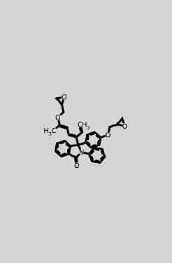 C=C/C(=C\C=C(/C)OCC1CO1)C1(c2ccc(OCC3CO3)cc2)c2ccccc2C(=O)N1c1ccccc1